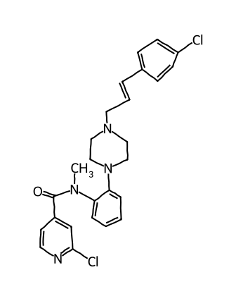 CN(C(=O)c1ccnc(Cl)c1)c1ccccc1N1CCN(C/C=C/c2ccc(Cl)cc2)CC1